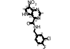 O=C(NCc1ccc(F)c(Cl)c1)c1ncnc2c([N+](=O)[O-])c[nH]c12